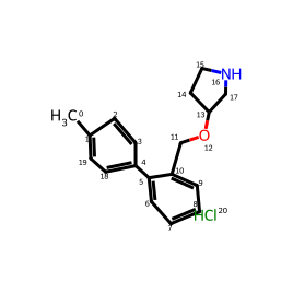 Cc1ccc(-c2ccccc2COC2CCNC2)cc1.Cl